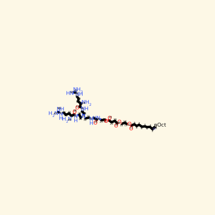 CCCCCCCC/C=C\CCCCCCCC(=O)OCCCOC(=O)CCC(=O)OCCNC(=O)CNCCN(CCNC(=O)C(N)CCCNC(=N)N)CCNC(=O)C(N)CCCNC(=N)N